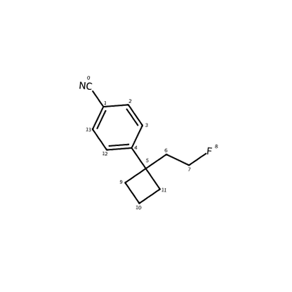 N#Cc1ccc(C2(CCF)CCC2)cc1